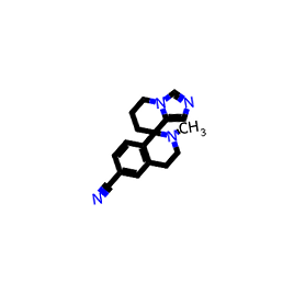 CN1CCc2cc(C#N)ccc2C12CCCn1cncc12